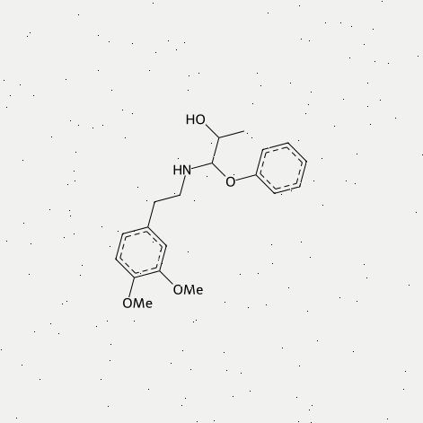 COc1ccc(CCNC(Oc2ccccc2)C(C)O)cc1OC